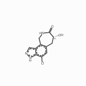 O=C1NCc2c(cc(Cl)c3[nH]ncc23)C[C@H]1O